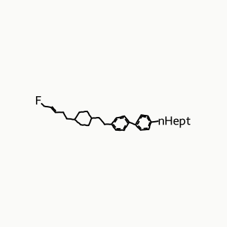 CCCCCCCc1ccc(-c2ccc(CCC3CCC(CC/C=C/CF)CC3)cc2)cc1